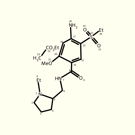 CCN1CCCC1CNC(=O)c1cc(S(=O)(=O)CC)c(N)cc1OC.CCOC(C)=O